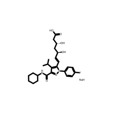 CC(C)c1c(C(=O)NC2CCCCC2)nn(-c2ccc(F)cc2)c1/C=C/[C@H](O)C[C@@H](O)CC(=O)O.[NaH]